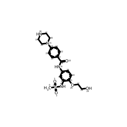 CS(=O)(=O)Nc1cc(NC(=O)c2ccc(N3CCNCC3)cc2)ccc1OCCO